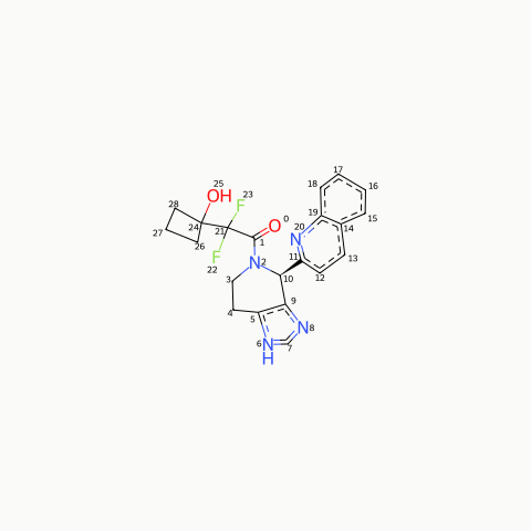 O=C(N1CCc2[nH]cnc2[C@@H]1c1ccc2ccccc2n1)C(F)(F)C1(O)CCC1